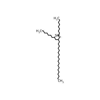 CCCCCCCCCCCCCCCCCCCC(CCCCCCCCCC)CC([SiH3])CCCCCCC